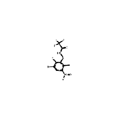 Cc1c([N+](=O)[O-])cc(Br)c(F)c1CNC(=O)C(F)(F)F